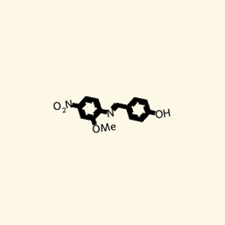 COc1cc([N+](=O)[O-])ccc1N=Cc1ccc(O)cc1